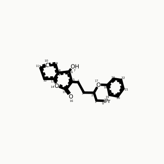 CC(C)CC(CCc1c(O)c2ccccc2oc1=O)Oc1ccccc1